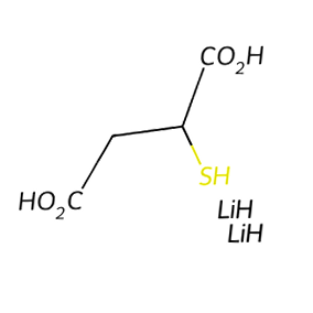 O=C(O)CC(S)C(=O)O.[LiH].[LiH]